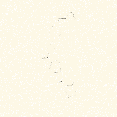 O=C(Nc1ccc(C(=O)N2CC(N3CCN(Cc4nccs4)CC3)C2)cc1)c1cc(F)ccc1Cl